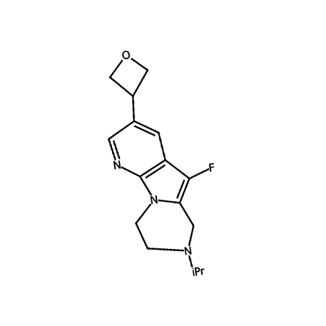 CC(C)N1CCn2c(c(F)c3cc(C4COC4)cnc32)C1